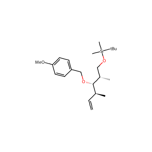 C=C[C@H](C)[C@H](OCc1ccc(OC)cc1)[C@@H](C)CO[Si](C)(C)C(C)(C)C